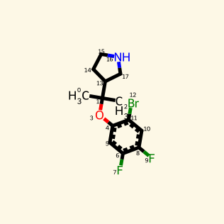 CC(C)(Oc1cc(F)c(F)cc1Br)C1CCNC1